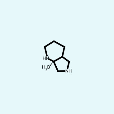 B[C@@]12CNCC1CCCN2